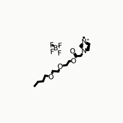 CCCCOCCOCCOC(=O)Cn1cc[n+](C)c1.F[B-](F)(F)F